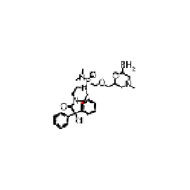 BC1CN(C)CC(COCP(=O)(N(C)C)N2CCN(C(=O)C(Cl)(c3ccccc3)c3ccccc3)CC2)O1